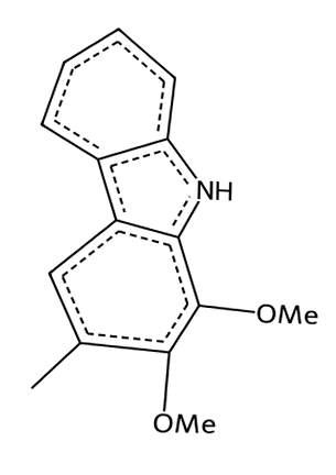 COc1c(C)cc2c([nH]c3ccccc32)c1OC